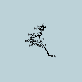 CC1=CN([C@H]2CC(O)[C@@H](COP(=O)(O)OP(=O)(O)OP(=O)(O)OP(=O)(O)OP(=O)(O)OP(=O)(O)OCCCCCCN)O2)C(O)NC1=O